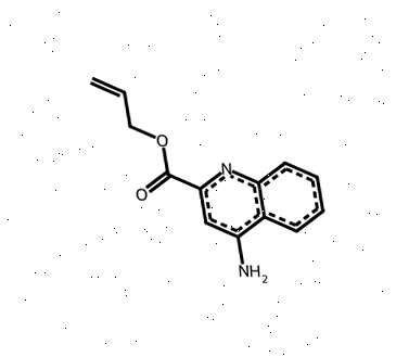 C=CCOC(=O)c1cc(N)c2ccccc2n1